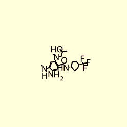 CNc1cc(N(C)CC(C)O)c(C(=O)N[C@H]2CC[C@H](C(F)(F)F)CC2)cc1N